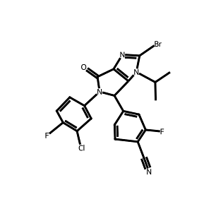 CC(C)n1c(Br)nc2c1C(c1ccc(C#N)c(F)c1)N(c1ccc(F)c(Cl)c1)C2=O